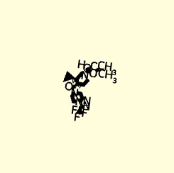 CC(C)(C)OC(=O)N1CC[C@@H](C(=O)N2CCn3c(nnc3C(F)(F)F)C2)[C@@H](C2CC2)C1